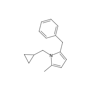 Cc1ccc(Cc2ccccc2)n1CC1CC1